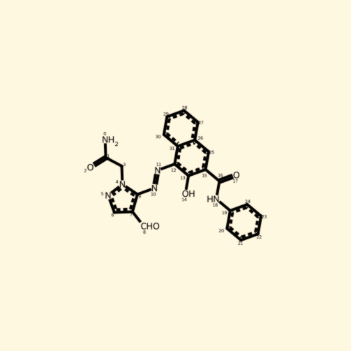 NC(=O)Cn1ncc(C=O)c1/N=N/c1c(O)c(C(=O)Nc2ccccc2)cc2ccccc12